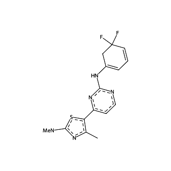 CNc1nc(C)c(-c2ccnc(NC3=CC=CC(F)(F)C3)n2)s1